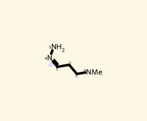 CNCC/C=N\N